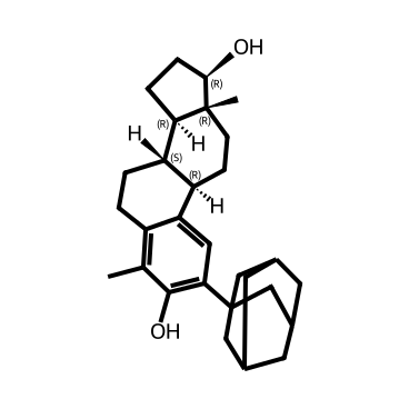 Cc1c(O)c(C23CC4CC(CC(C4)C2)C3)cc2c1CC[C@@H]1[C@H]3CC[C@@H](O)[C@]3(C)CC[C@@H]21